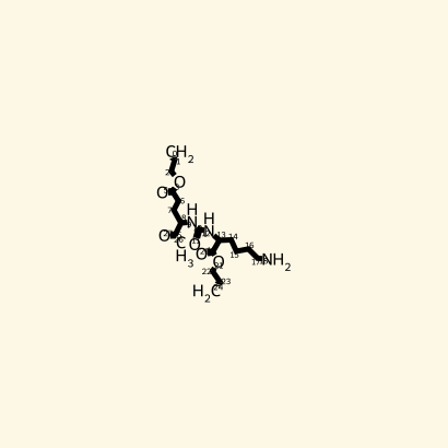 C=CCOC(=O)CCC(NC(=O)NC(CCCCN)C(=O)OCC=C)C(C)=O